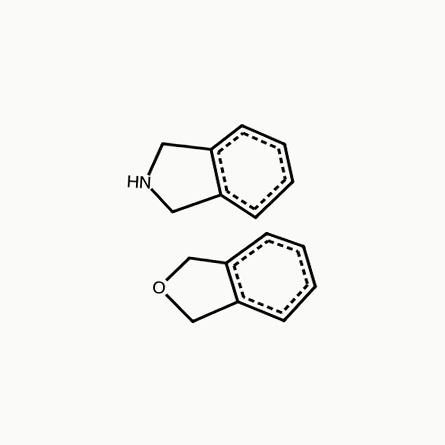 c1ccc2c(c1)CNC2.c1ccc2c(c1)COC2